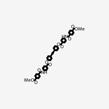 COC(=O)c1ccc(C(=O)Nc2ccc(C(=O)Oc3ccc(C#Cc4ccc(OC(=O)c5ccc(NC(=O)c6ccc(C(=O)OC)cc6)cc5)cc4)cc3)cc2)cc1